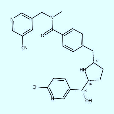 CN(Cc1cncc(C#N)c1)C(=O)c1ccc(C[C@@H]2CC[C@H]([C@H](O)c3ccc(Cl)nc3)N2)cc1